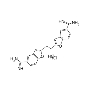 Cl.Cl.N=C(N)c1ccc2oc(CCc3cc4cc(C(=N)N)ccc4o3)cc2c1